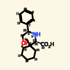 CC1([C@H](N[C@@H](CO)c2ccccc2)C(=O)O)CCCCC1